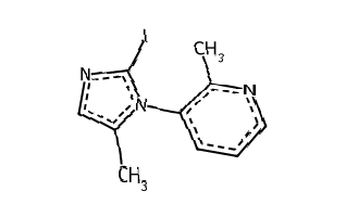 Cc1ncccc1-n1c(C)cnc1I